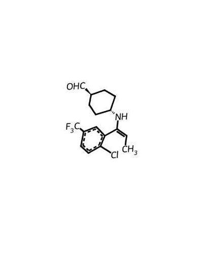 CC=C(N[C@H]1CC[C@H](C=O)CC1)c1cc(C(F)(F)F)ccc1Cl